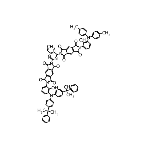 C=Cc1nc(-n2c(=O)c3cc4c(=O)n(-c5cccc(N(c6ccc(C)cc6)c6ccc(C)cc6)c5O)c(=O)c4cc3c2=O)nc(-n2c(=O)c3cc4c(=O)n(-c5cccc(N(c6ccc(C(C)(C)c7ccccc7)cc6)c6ccc(C(C)(C)c7ccccc7)cc6)c5O)c(=O)c4cc3c2=O)n1